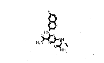 CC[C@@H](Nc1cnc(C(N)=O)c(Nc2cnc3ccc(F)cc3c2)n1)C(N)=O